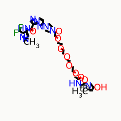 C[C@@H]1C[C@@H](O)CN1C(=O)[C@@H](NC(=O)COCCOCCOCCOCCOCC(=O)N1CCN(c2ccn3ncc(C(=O)Nc4cn(C)nc4C(F)F)c3n2)CC1)C(C)(C)C